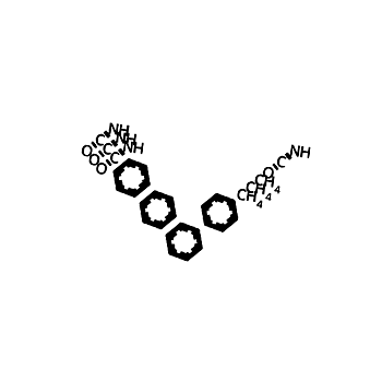 C.C.C.N=C=O.N=C=O.N=C=O.N=C=O.c1ccccc1.c1ccccc1.c1ccccc1.c1ccccc1